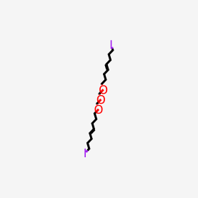 ICCCC=CCCCOCOCOCCCC=CCCCI